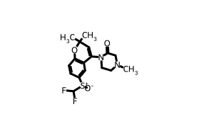 CN1CCN(C2=CC(C)(C)Oc3ccc([S+]([O-])C(F)F)cc32)C(=O)C1